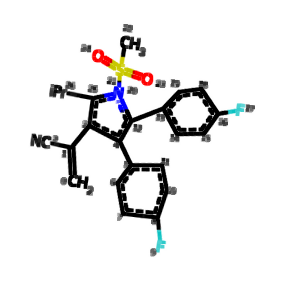 C=C(C#N)c1c(-c2ccc(F)cc2)c(-c2ccc(F)cc2)n(S(C)(=O)=O)c1C(C)C